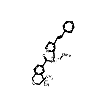 COC[C@H](NC(=O)c1ccc2c(c1)[C@](C)(C#N)COC2)c1cc(C#Cc2ccccc2)ccn1